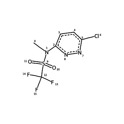 CN(c1ccc(Cl)nn1)S(=O)(=O)C(F)(F)F